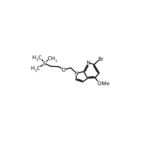 COc1cc(Br)nc2c1ccn2COCC[Si](C)(C)C